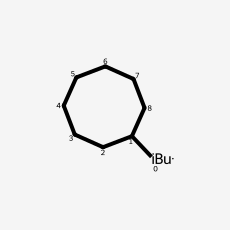 CC[C](C)C1CCCCCCC1